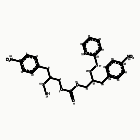 O=C(OCC(Cc1ccc([N+](=O)[O-])cc1)SS)OCC(Cc1ccc([N+](=O)[O-])cc1)SSc1ccccn1